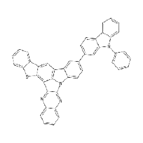 c1ccc(-n2c3ccccc3c3ccc(-c4ccc5c(c4)c4cc6c7ccccc7sc6c6c7nc8ccccc8nc7n5c46)cc32)cc1